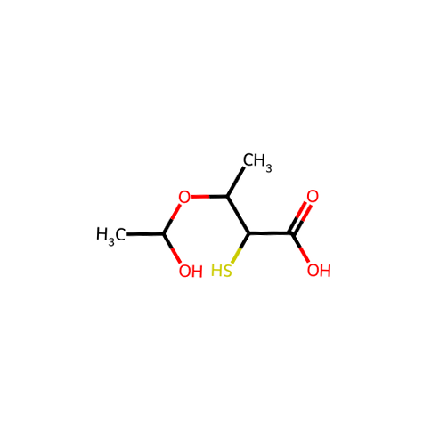 CC(O)OC(C)C(S)C(=O)O